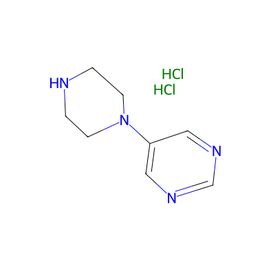 Cl.Cl.c1ncc(N2CCNCC2)cn1